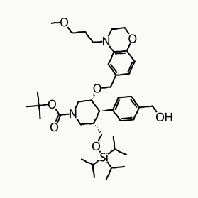 COCCCN1CCOc2ccc(CO[C@H]3CN(C(=O)OC(C)(C)C)C[C@@H](CO[Si](C(C)C)(C(C)C)C(C)C)[C@@H]3c3ccc(CO)cc3)cc21